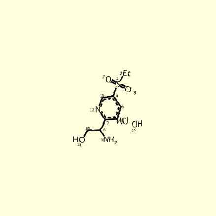 CCS(=O)(=O)c1ccc(C(N)CO)nc1.Cl.Cl